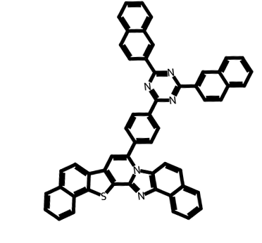 c1ccc2cc(-c3nc(-c4ccc(-c5cc6c7ccc8ccccc8c7sc6c6nc7c8ccccc8ccc7n56)cc4)nc(-c4ccc5ccccc5c4)n3)ccc2c1